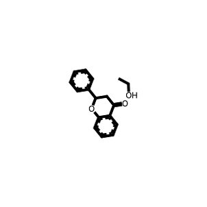 CCO.O=C1CC(c2ccccc2)Oc2ccccc21